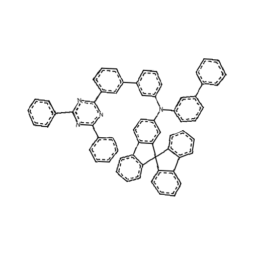 c1ccc(-c2cccc(N(c3cccc(-c4cccc(-c5nc(-c6ccccc6)nc(-c6ccccc6)n5)c4)c3)c3ccc4c(c3)C3(c5ccccc5-c5ccccc53)c3ccccc3-4)c2)cc1